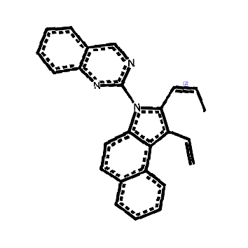 C=Cc1c(/C=C\C)n(-c2ncc3ccccc3n2)c2ccc3ccccc3c12